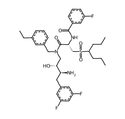 CCCC(CCC)S(=O)(=O)C[C@@H](NC(=O)c1cccc(F)c1)C(=O)N(Cc1cccc(CC)c1)C[C@@H](O)[C@@H](N)Cc1cc(F)cc(F)c1